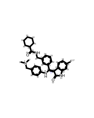 CN(C)Cc1ccc(N/C(=C2\C(=O)Nc3cc(F)ccc32)c2cccc(CNC(=O)C3CCCCC3)c2)cc1